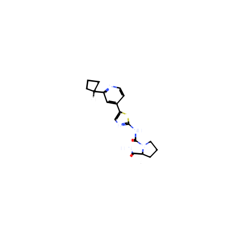 C[C@@]1(C(N)=O)CCCN1C(=O)Nc1ncc(-c2ccnc(C3(C(F)(F)F)CCC3)c2)s1